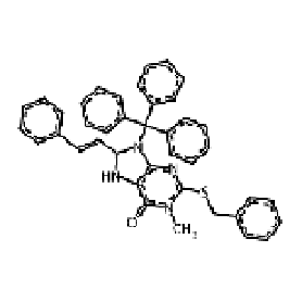 Cn1c(SCc2ccccc2)nc2c(c1=O)NC(C=Cc1ccccc1)N2C(c1ccccc1)(c1ccccc1)c1ccccc1